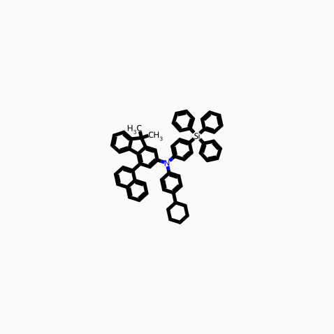 CC1(C)c2ccccc2-c2c(-c3cccc4ccccc34)cc(N(c3ccc(C4CCCCC4)cc3)c3ccc([Si](c4ccccc4)(c4ccccc4)c4ccccc4)cc3)cc21